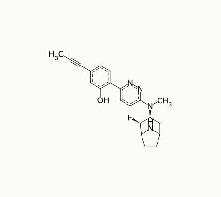 CC#Cc1ccc(-c2ccc(N(C)[C@H]3CC4CCC(N4)[C@H]3F)nn2)c(O)c1